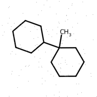 CC1(C2CCCCC2)CCCCC1